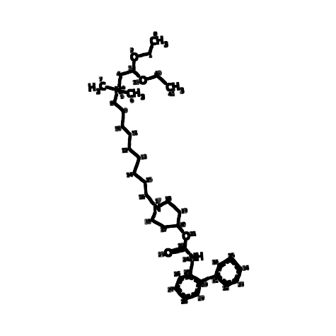 CCOC(C[N+](C)(C)CCCCCCCCCN1CCC(OC(=O)Nc2ccccc2-c2ccccc2)CC1)OCC